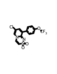 O=S1(=O)C=CN2C=C(Cl)C=C(c3ccc(OC(F)(F)F)cc3)C2=N1